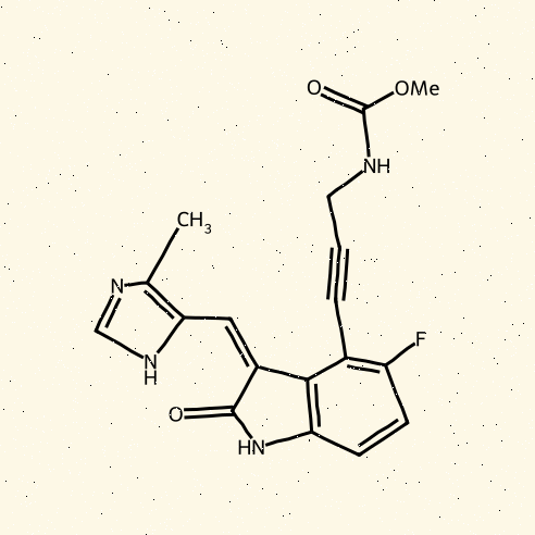 COC(=O)NCC#Cc1c(F)ccc2c1/C(=C/c1[nH]cnc1C)C(=O)N2